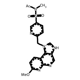 COc1ccc2c(ncc3[nH]c[n+](Cc4ccc(S(=O)(=O)N(C)C(C)=O)cn4)c32)n1